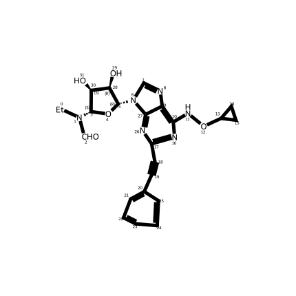 CCN(C=O)[C@H]1O[C@@H](n2cnc3c(NOC4CC4)nc(C#Cc4ccccc4)nc32)[C@H](O)[C@@H]1O